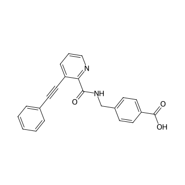 O=C(O)c1ccc(CNC(=O)c2ncccc2C#Cc2ccccc2)cc1